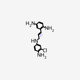 Nc1ccc(N)c(/C=C/CNc2ccc(N)c(Cl)c2)c1